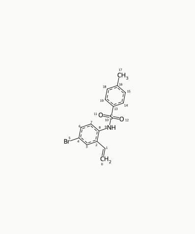 C=Cc1cc(Br)ccc1NS(=O)(=O)c1ccc(C)cc1